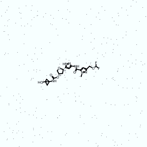 Cn1nc(COC(F)F)cc1C(=O)Nc1cc([C@@H]2C[C@H](OC(=O)NC34CC3(O)C4)CO2)[nH]n1